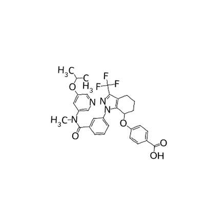 CC(C)Oc1cncc(N(C)C(=O)c2cccc(-n3nc(C(F)(F)F)c4c3C(Oc3ccc(C(=O)O)cc3)CCC4)c2)c1